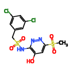 CS(=O)(=O)c1cc(O)c(NS(=O)(=O)Cc2cc(Cl)cc(Cl)c2)nn1